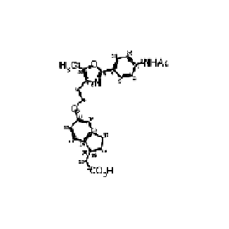 CC(=O)Nc1ccc(-c2nc(CCOc3ccc4c(c3)CC[C@H]4CC(=O)O)c(C)o2)cc1